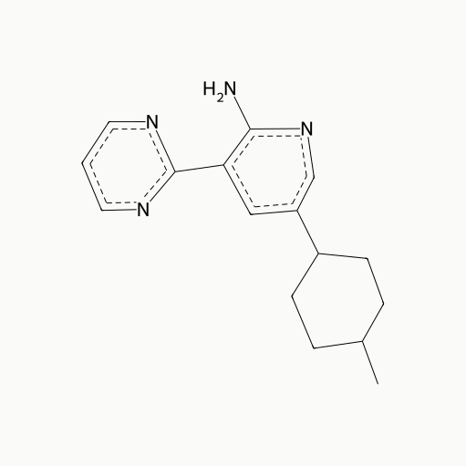 CC1CCC(c2cnc(N)c(-c3ncccn3)c2)CC1